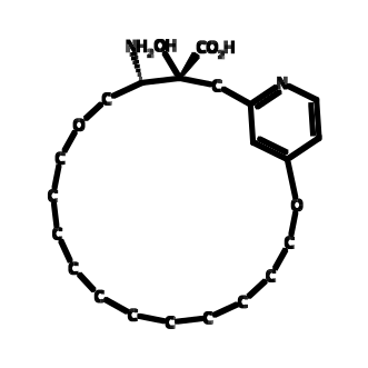 N[C@H]1COCCCCCCCCCCCOc2ccnc(c2)C[C@]1(O)C(=O)O